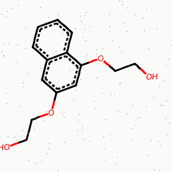 OCCOc1cc(OCCO)c2ccccc2c1